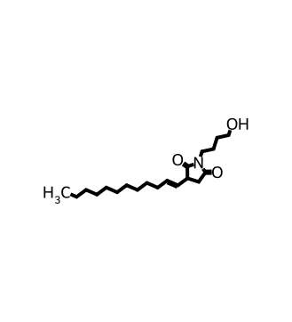 CCCCCCCCCCC=CC1CC(=O)N(CCCCO)C1=O